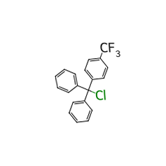 FC(F)(F)c1ccc(C(Cl)(c2ccccc2)c2ccccc2)cc1